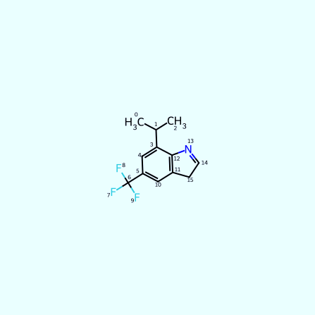 CC(C)c1cc(C(F)(F)F)cc2c1N=CC2